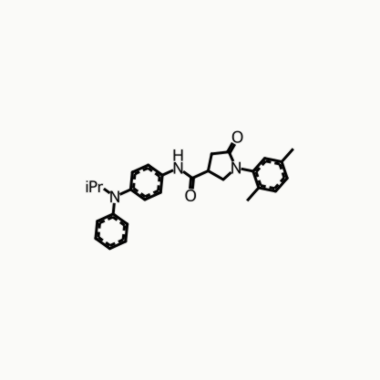 Cc1ccc(C)c(N2CC(C(=O)Nc3ccc(N(c4ccccc4)C(C)C)cc3)CC2=O)c1